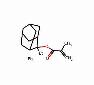 C=C(C)C(=O)OC1(CC)C2CC3CC(C2)CC1C3.[Pb]